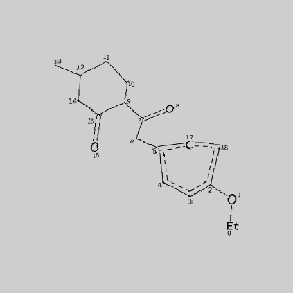 CCOc1ccc(CC(=O)C2CCC(C)CC2=O)cc1